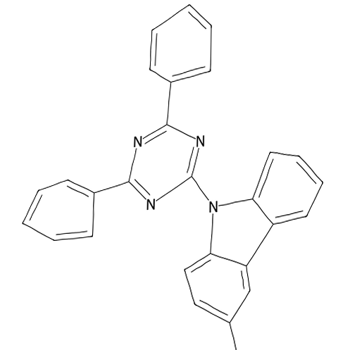 N#Cc1ccc2c(c1)c1ccccc1n2-c1nc(-c2ccccc2)nc(-c2ccccc2)n1